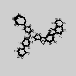 c1ccc(-c2ccc(N(c3ccc(-c4ccccc4)cc3)c3ccc4c(c3)oc3ccc5c6ccc7ccccc7c6sc5c34)cc2)cc1